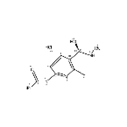 Cc1nc(NC(=O)C(C)C)ccc1[C@@H](O)NC(C)(C)C.Cl